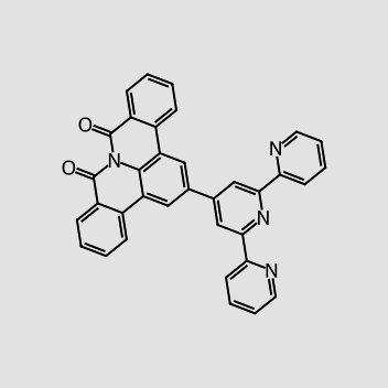 O=c1c2ccccc2c2cc(-c3cc(-c4ccccn4)nc(-c4ccccn4)c3)cc3c4ccccc4c(=O)n1c23